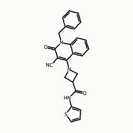 N#Cc1c(N2CC(C(=O)Nc3cccs3)C2)c2ccccc2n(Cc2ccccc2)c1=O